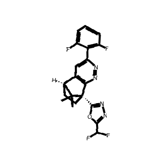 CC1(C)[C@H]2CC[C@]1(c1nnc(C(F)F)o1)c1nnc(-c3c(F)cccc3F)cc12